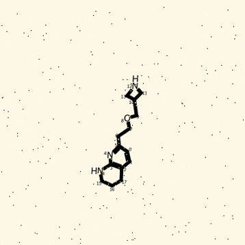 c1cc2c(nc1CCOCC1CNC1)NCCC2